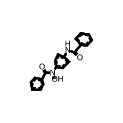 O=C(Nc1ccc(N(O)C(=O)c2ccccc2)cc1)c1ccccc1